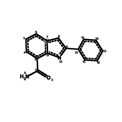 NC(=O)c1[c]ccn2cc(-c3ccccc3)nc12